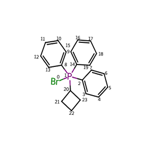 BrP(c1ccccc1)(c1ccccc1)(c1ccccc1)C1CCC1